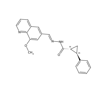 COc1cc(C=NNC(=O)[C@@H]2C[C@H]2c2ccccc2)cc2cccnc12